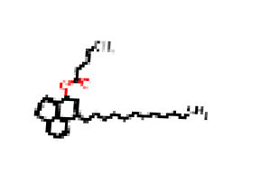 CCCCCCCCCCCCC1=CC(OC(=O)CCCC)c2cccc3cccc1c23